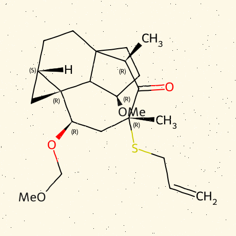 C=CCS[C@]1(C)C[C@@H](OCOC)[C@]23C[C@@H]2CCC2(CC[C@@H](OC)C23)[C@@H](C)C1=O